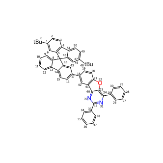 CC(C)(C)c1ccc2c(c1)C1(c3ccccc3-c3ccc(-c4ccc5oc6c(-c7ccccc7)nc(-c7ccccc7)nc6c5c4)cc31)c1cc(C(C)(C)C)ccc1-2